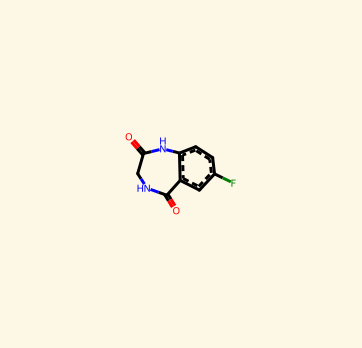 O=C1CNC(=O)c2cc(F)ccc2N1